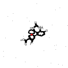 O=C1Nc2c(Cl)ccc(-c3ccc(C(=O)O)c(F)c3)c2C2(CCCCC2)N1